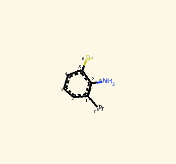 CC(C)c1cccc(S)c1N